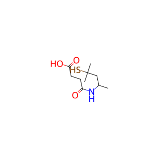 CC(CC(C)(C)S)NC(=O)CCC(=O)O